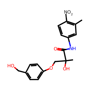 Cc1cc(NC(=O)C(C)(O)COc2ccc(CO)cc2)ccc1[N+](=O)[O-]